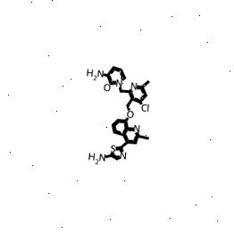 Cc1cc(Cl)c(COc2cccc3c(-c4ncc(N)s4)cc(C)nc23)c(Cn2cccc(N)c2=O)n1